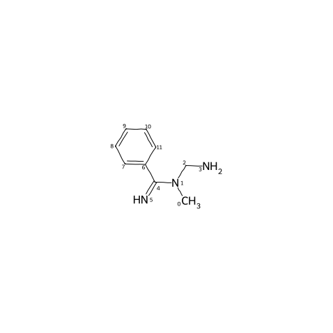 CN(CN)C(=N)c1ccccc1